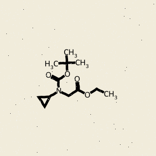 CCOC(=O)CN(C(=O)OC(C)(C)C)C1CC1